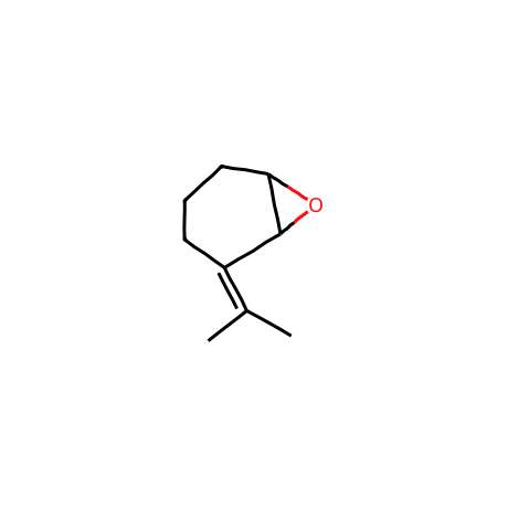 CC(C)=C1CCCC2OC12